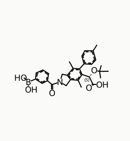 Cc1ccc(-c2c(C)c3c(c(C)c2[C@H](OC(C)(C)C)C(=O)O)CN(C(=O)c2cccc(B(O)O)c2)C3)cc1